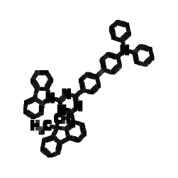 CC1(C)c2ccccc2-c2cccc(-c3nc(-c4ccc(-c5ccc(N(c6ccccc6)c6ccccc6)cc5)cc4)nc(-n4c5ccccc5c5ccccc54)n3)c21